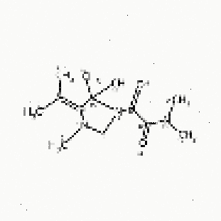 CC(C)=C1N(C)CN(C(=O)C(=O)N(C)C)C1(C)C